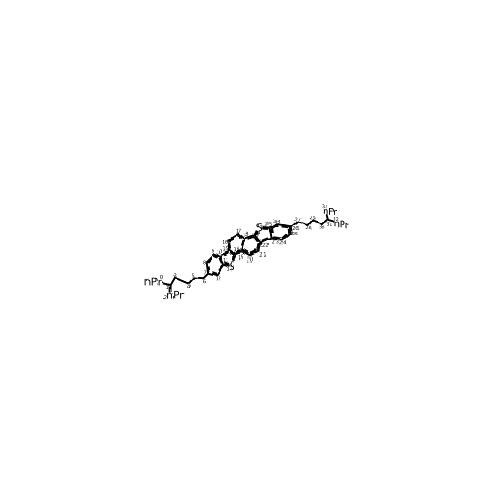 CCCC(CCC)CCCCc1ccc2c(c1)sc1c2ccc2c1ccc1c3ccc(CCCCC(CCC)CCC)cc3sc12